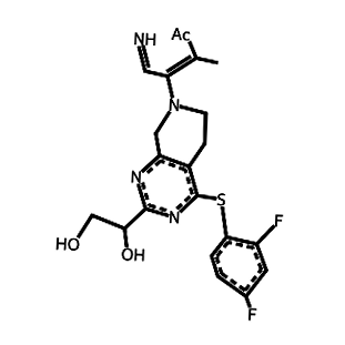 CC(=O)/C(C)=C(\C=N)N1CCc2c(nc(C(O)CO)nc2Sc2ccc(F)cc2F)C1